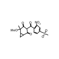 COC1(C)C(=O)C(C(=O)c2ccc(S(C)(=O)=O)cc2[N+](=O)[O-])C(=O)C2CC21